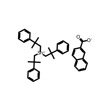 CC(C)([CH2][Sn+]([CH2]C(C)(C)c1ccccc1)[CH2]C(C)(C)c1ccccc1)c1ccccc1.O=C([O-])c1ccc2ccccc2c1